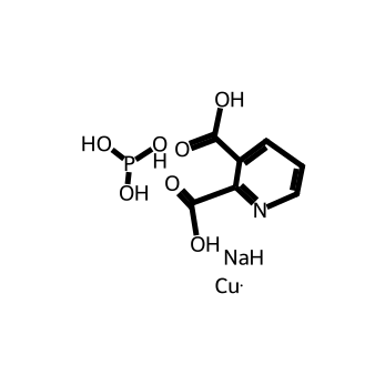 O=C(O)c1cccnc1C(=O)O.OP(O)O.[Cu].[NaH]